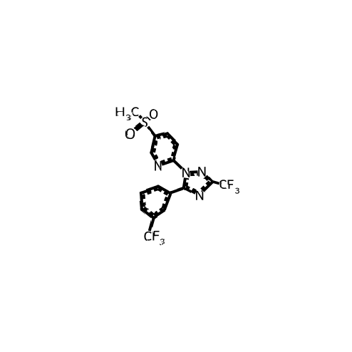 CS(=O)(=O)c1ccc(-n2nc(C(F)(F)F)nc2-c2cccc(C(F)(F)F)c2)nc1